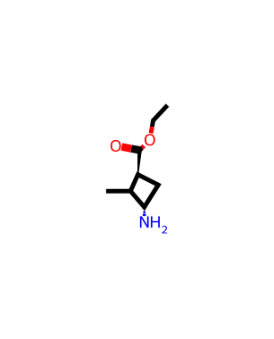 CCOC(=O)[C@H]1C[C@H](N)C1C